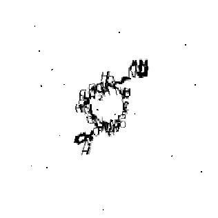 C[C@@H]1NC(=O)C(CC(=O)O)NC(=O)CNC(=O)C(CCCCn2cc[n+]3ncccc23)NC(=O)CCSSC[C@@H](C(N)=O)NC(=O)[C@@H]2CC(OCc3c[nH]c4ccccc34)CN2C1=O